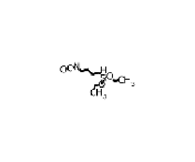 CCO[SiH](CCCCN=C=O)OCC